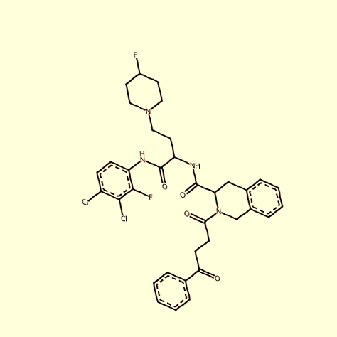 O=C(CCC(=O)N1Cc2ccccc2CC1C(=O)NC(CCN1CCC(F)CC1)C(=O)Nc1ccc(Cl)c(Cl)c1F)c1ccccc1